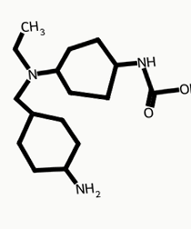 CCN(CC1CCC(N)CC1)C1CCC(NC(=O)O)CC1